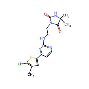 Cc1cc(-c2ccnc(NCCN3C(=O)NC(C)(C)C3=O)n2)sc1Cl